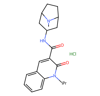 CC(C)n1c(=O)c(C(=O)NC2CC3CCC(C2)N3C)cc2ccccc21.Cl